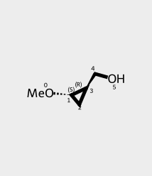 CO[C@H]1C[C@@H]1CO